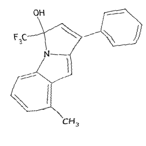 Cc1cccc2c1cc1n2C(O)(C(F)(F)F)C=C1c1ccccc1